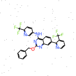 FC(F)(F)c1ccc(Nc2nc(OCc3ccccc3)nc3cc(-c4ncccc4C(F)(F)F)ccc23)cn1